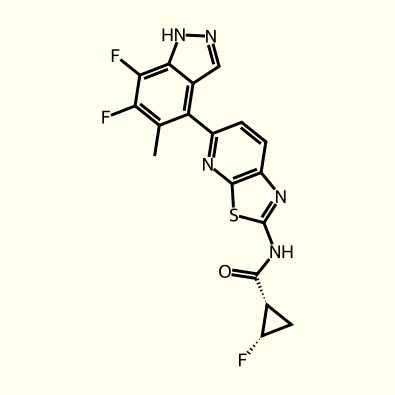 Cc1c(F)c(F)c2[nH]ncc2c1-c1ccc2nc(NC(=O)[C@@H]3C[C@@H]3F)sc2n1